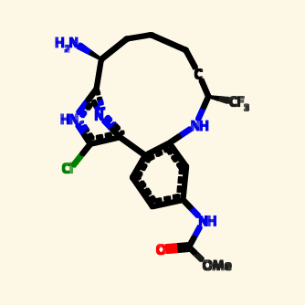 COC(=O)Nc1ccc2c(c1)N[C@H](C(F)(F)F)CCCC[C@H](N)c1nc-2c(Cl)[nH]1